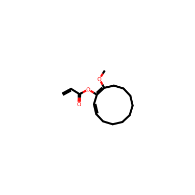 C=CC(=O)OC1=C(OC)CCCCCCCCC=C1